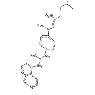 CC(C)CC/C(N)=C/N(N)c1ccc(NC(O)Nc2cccc3cnccc23)cc1